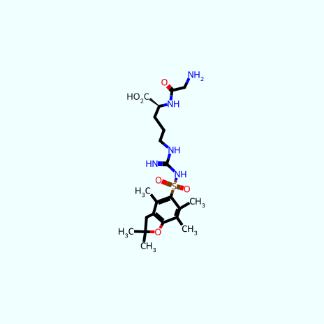 Cc1c(C)c(S(=O)(=O)NC(=N)NCCC[C@H](NC(=O)CN)C(=O)O)c(C)c2c1OC(C)(C)C2